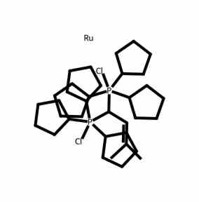 CC(C)=CC(P(Cl)(C1CCCC1)(C1CCCC1)C1CCCC1)P(Cl)(C1CCCC1)(C1CCCC1)C1CCCC1.[Ru]